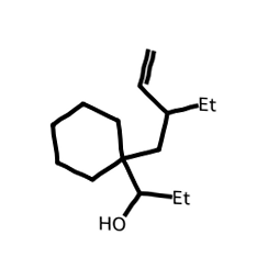 C=CC(CC)CC1(C(O)CC)CCCCC1